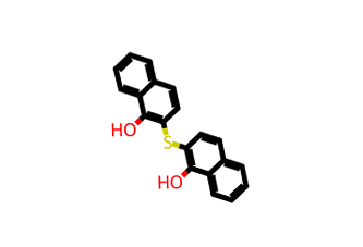 Oc1c(Sc2ccc3ccccc3c2O)ccc2ccccc12